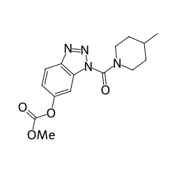 COC(=O)Oc1ccc2nnn(C(=O)N3CCC(C)CC3)c2c1